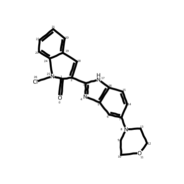 O=c1c(-c2nc3cc(N4CCOCC4)ccc3[nH]2)cc2ccccc2n1Cl